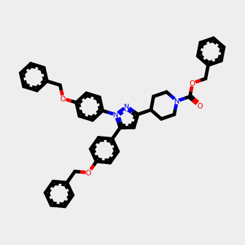 O=C(OCc1ccccc1)N1CCC(c2cc(-c3ccc(OCc4ccccc4)cc3)n(-c3ccc(OCc4ccccc4)cc3)n2)CC1